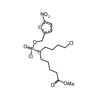 COC(=O)CCCCN(CCCCCl)P(=O)(Cl)OCc1ccc([N+](=O)[O-])o1